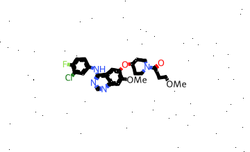 COCCC(=O)N1CCC(Oc2cc3c(Nc4ccc(F)c(Cl)c4)ncnc3cc2OC)CC1